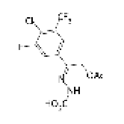 CC(=O)OC/C(=N\NC(=O)O)c1cc(F)c(Cl)c(C(F)(F)F)c1